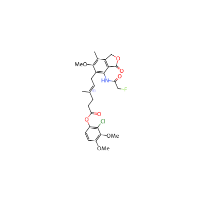 COc1ccc(OC(=O)CC/C(C)=C/Cc2c(NC(=O)CF)c3c(c(C)c2OC)COC3=O)c(Cl)c1OC